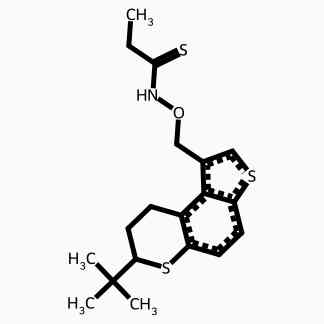 CCC(=S)NOCc1csc2ccc3c(c12)CCC(C(C)(C)C)S3